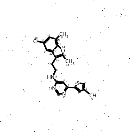 Cc1csc(-c2cc(NCCc3c(C)oc4c(C)cc(Cl)cc34)ncn2)c1